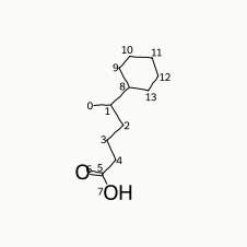 CC(CCCC(=O)O)C1CCCCC1